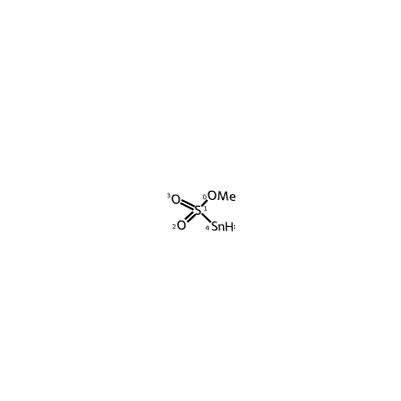 CO[S](=O)(=O)[SnH]